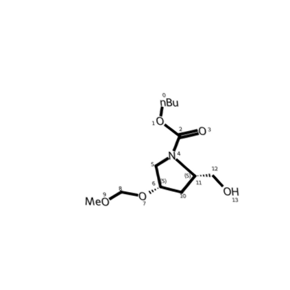 CCCCOC(=O)N1C[C@@H](OCOC)C[C@H]1CO